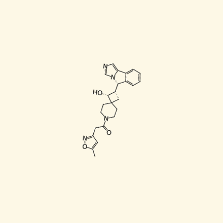 Cc1cc(CC(=O)N2CCC3(CC2)C[C@@H]([C@H]2c4ccccc4-c4cncn42)[C@H]3O)no1